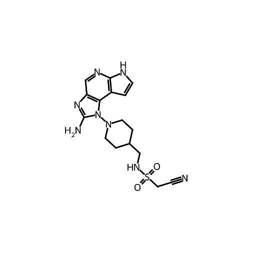 N#CCS(=O)(=O)NCC1CCN(n2c(N)nc3cnc4[nH]ccc4c32)CC1